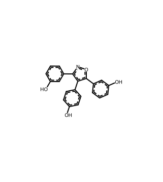 Oc1ccc(-c2c(-c3cccc(O)c3)noc2-c2cccc(O)c2)cc1